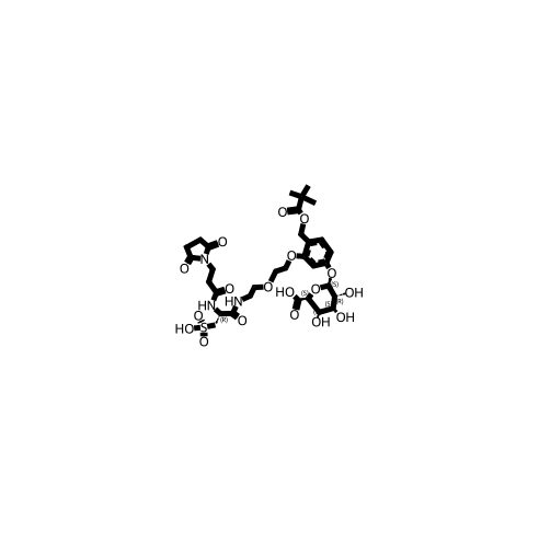 CC(C)(C)C(=O)OCc1ccc(O[C@@H]2O[C@H](C(=O)O)[C@@H](O)[C@H](O)[C@H]2O)cc1OCCOCCNC(=O)[C@H](CS(=O)(=O)O)NC(=O)CCN1C(=O)CCC1=O